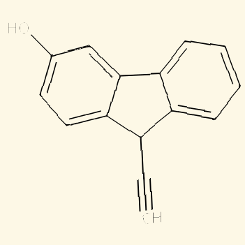 C#CC1c2ccccc2-c2cc(O)ccc21